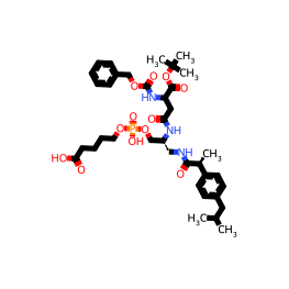 CC(C)Cc1ccc([C@H](C)C(=O)NC[C@H](COP(=O)(O)OCCCCC(=O)O)NC(=O)CC(NC(=O)OCc2ccccc2)C(=O)OC(C)(C)C)cc1